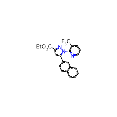 CCOC(=O)c1cc(-c2ccc3ccccc3c2)n(-c2ncccc2C(F)(F)F)n1